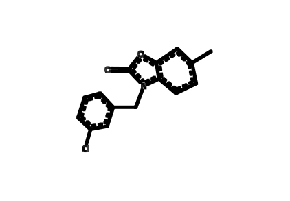 Cc1ccc2c(c1)oc(=O)n2Cc1cccc(Cl)c1